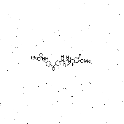 COc1cc(F)c(-c2cnc3c(Nc4ccc(C(=O)N5CCC(CNC(=O)OC(C)(C)C)CC5)c(C)c4)nccn23)cc1F